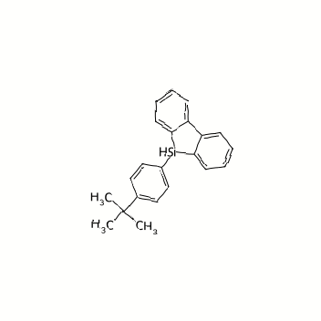 CC(C)(C)c1ccc([SiH]2c3ccccc3-c3ccccc32)cc1